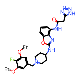 CCOc1cc(CN2CCC(Nc3nc4c(NC(=O)Cc5nnn[nH]5)cccc4o3)CC2)cc(OCC)c1F